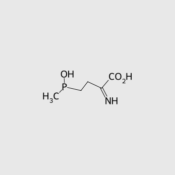 CP(O)CCC(=N)C(=O)O